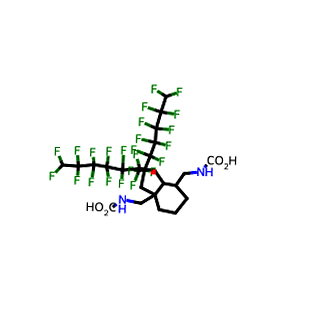 O=C(O)NCC1CCCC(CNC(=O)O)(CC(F)(F)C(F)(F)C(F)(F)C(F)(F)C(F)(F)C(F)F)C1CC(F)(F)C(F)(F)C(F)(F)C(F)(F)C(F)(F)C(F)F